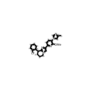 COc1nc(-c2cn3c(n2)C(c2ccccc2C(F)(F)F)CCC3)ccc1-n1cnc(C)c1